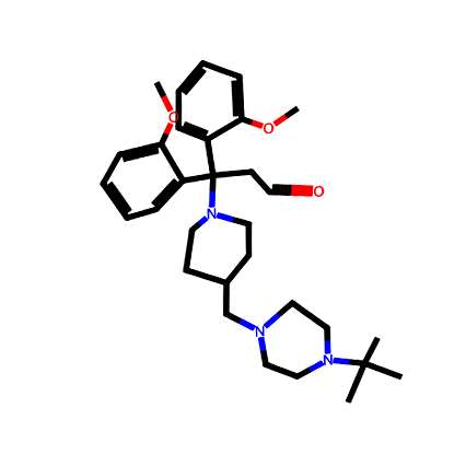 COc1ccccc1C(CC=O)(c1ccccc1OC)N1CCC(CN2CCN(C(C)(C)C)CC2)CC1